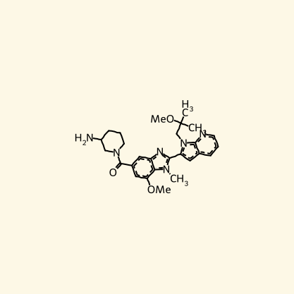 COc1cc(C(=O)N2CCCC(N)C2)cc2nc(-c3cc4cccnc4n3CC(C)(C)OC)n(C)c12